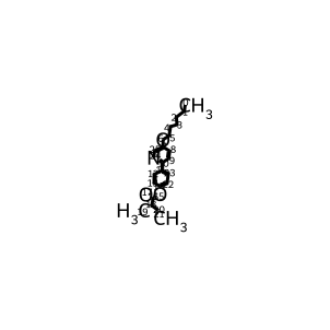 CCCCCCOc1ccc(-c2ccc(OC(=O)C(C)CC)cc2)nc1